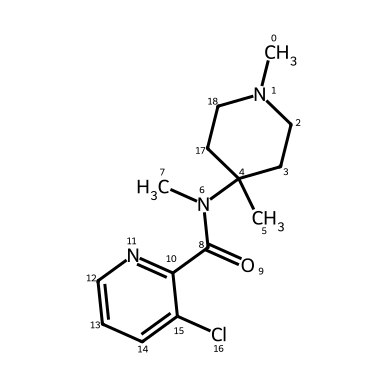 CN1CCC(C)(N(C)C(=O)c2ncccc2Cl)CC1